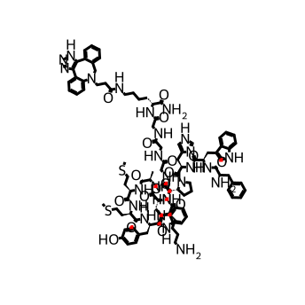 CSCC[C@@H](NC(=O)[C@@H](C)NC(=O)[C@@H](Cc1c[nH]c2ccccc12)NC(=O)[C@H]1CCCN1C(=O)[C@@H](Cc1c[nH]cn1)NC(=O)[C@@H](Cc1c[nH]c2ccccc12)NC(=O)[C@H](N)Cc1ccccc1)C(=O)N[C@H](CCSC)C(=O)N[C@H](Cc1ccc(O)cc1)C(=O)N[C@H](CCCCN)C(=O)NCC(=O)NCC(=O)NCC(=O)NCC(=O)N[C@H](CCCCNC(=O)CCN1Cc2ccccc2-c2[nH]nnc2-c2ccccc21)C(N)=O